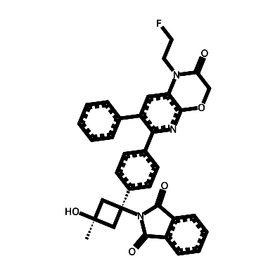 C[C@]1(O)C[C@@](c2ccc(-c3nc4c(cc3-c3ccccc3)N(CCF)C(=O)CO4)cc2)(N2C(=O)c3ccccc3C2=O)C1